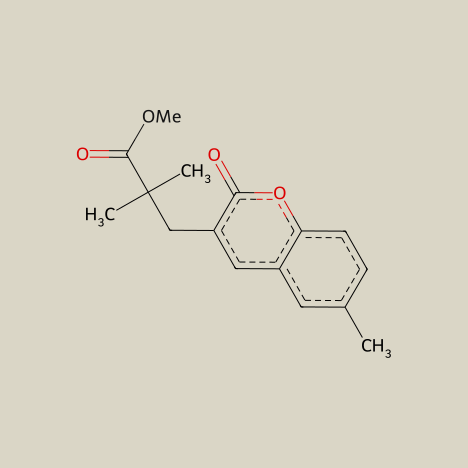 COC(=O)C(C)(C)Cc1cc2cc(C)ccc2oc1=O